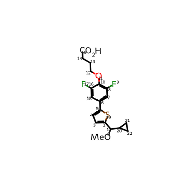 COC(c1ccc(-c2cc(F)c(OCCCC(=O)O)c(F)c2)s1)C1CC1